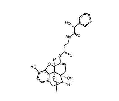 CN1CC[C@]23c4c5ccc(O)c4O[C@H]2C(OC(=O)CCNC(=O)C(O)c2ccccc2)=CC[C@@]3(O)[C@H]1C5